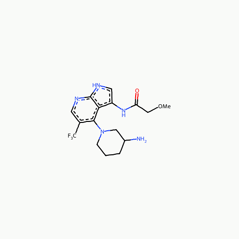 COCC(=O)Nc1c[nH]c2ncc(C(F)(F)F)c(N3CCCC(N)C3)c12